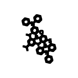 CC(C)c1cc(C(C)C)c(B2c3ccc(N(c4ccccc4)c4ccccc4)cc3Oc3cc4c(cc32)B2c3ccccc3N(c3ccccc3)c3cccc(c32)S4)c(C(C)C)c1